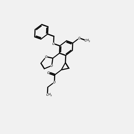 CCOC(=O)C1CC1c1cc(OC)cc(OCc2ccccc2)c1C1OCCO1